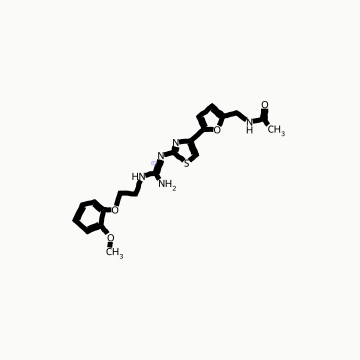 COc1ccccc1OCCN/C(N)=N/c1nc(-c2ccc(CNC(C)=O)o2)cs1